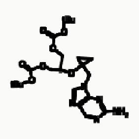 CC(C)(C)OC(=O)OC[C](COC(=O)OC(C)(C)C)OC1(Cn2cnc3cnc(N)nc32)CC1